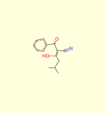 CC(C)CC(O)=C(C#N)C(=O)c1ccccc1